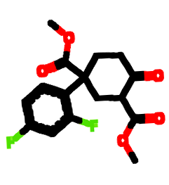 COC(=O)C1CC(C(=O)OC)(c2ccc(F)cc2F)CCC1=O